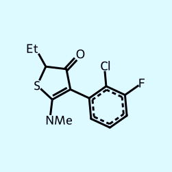 CCC1SC(NC)=C(c2cccc(F)c2Cl)C1=O